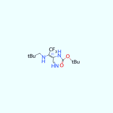 CC(C)(C)CN/C(=C(\C=N)NC(=O)OC(C)(C)C)C(F)(F)F